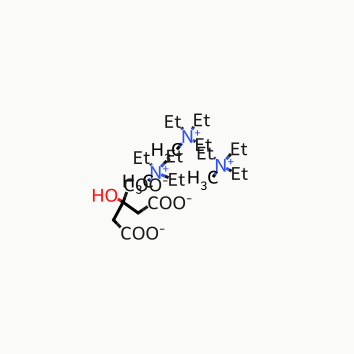 CC[N+](C)(CC)CC.CC[N+](C)(CC)CC.CC[N+](C)(CC)CC.O=C([O-])CC(O)(CC(=O)[O-])C(=O)[O-]